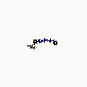 CC(C)(C)[Si](C)(C)OCc1cccc(-c2cnc(N3CC(=NOC4CN(Cc5ccccc5)C4)C3)nc2)c1F